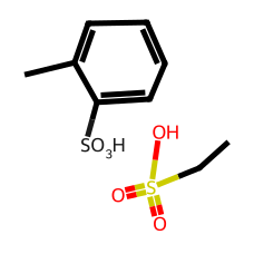 CCS(=O)(=O)O.Cc1ccccc1S(=O)(=O)O